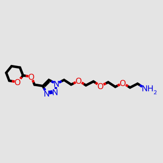 NCCOCCOCCOCCn1cc(COC2CCCCO2)nn1